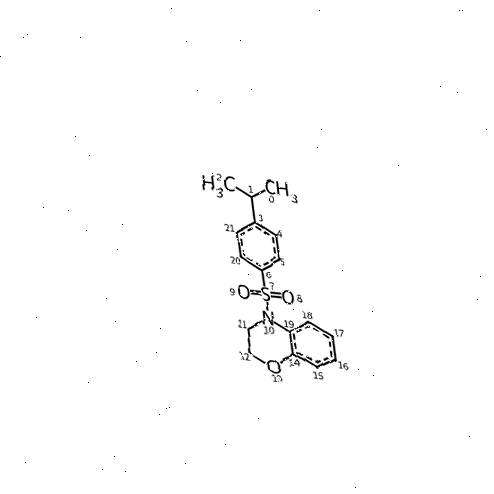 CC(C)c1ccc(S(=O)(=O)N2CCOc3ccccc32)cc1